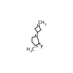 C[C@@H]1CCN(C2CN(C)C2)C[C@@H]1F